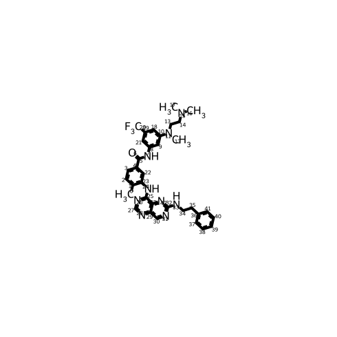 Cc1ccc(C(=O)Nc2cc(N(C)CCN(C)C)cc(C(F)(F)F)c2)cc1Nc1ncnc2cnc(NCCc3ccccc3)nc12